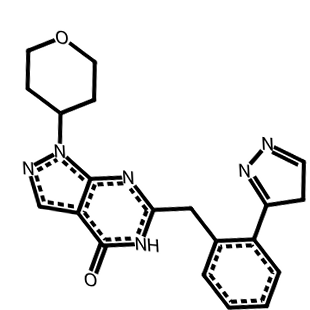 O=c1[nH]c(Cc2ccccc2C2=NN=CC2)nc2c1cnn2C1CCOCC1